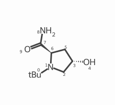 CC(C)(C)N1C[C@@H](O)C[C@@H]1C(N)=O